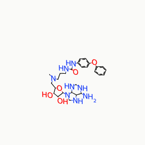 CN(CCCNC(=O)Nc1ccc(Oc2ccccc2)cc1)CC1O[C@@H](N2CNC3C(N)NCNC32)[C@H](O)[C@@H]1O